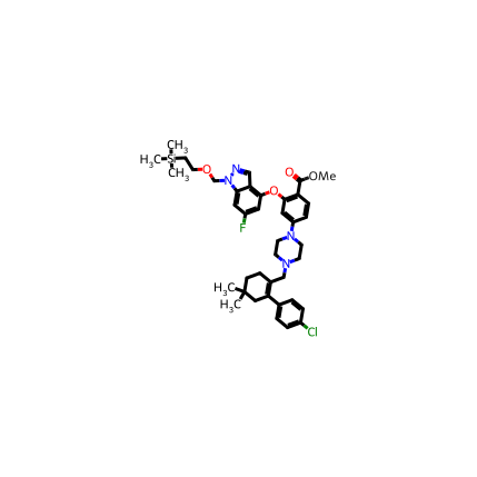 COC(=O)c1ccc(N2CCN(CC3=C(c4ccc(Cl)cc4)CC(C)(C)CC3)CC2)cc1Oc1cc(F)cc2c1cnn2COCC[Si](C)(C)C